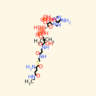 CCNC(=O)CC[C@H](N)C(=O)SCCNC(=O)CCNC(=O)[C@H](O)C(C)(C)COP(=O)(O)OP(=O)(O)OC[C@H]1O[C@@H](n2cnc3c(N)ncnc32)[C@H](O)[C@@H]1OP(=O)(O)O